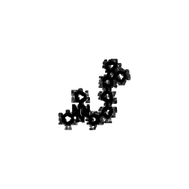 c1ccc(-c2nc(-c3ccccc3)nc(-c3cccc(-c4cccc(-c5ccc(-c6ccc7c(c6)C6(CCCCC6)c6ccccc6-7)cc5)c4)c3)n2)cc1